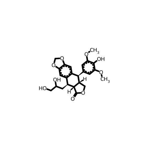 COc1cc([C@@H]2c3cc4c(cc3[C@H](CC(O)CO)[C@H]3C(=O)OC[C@@H]23)OCO4)cc(OC)c1O